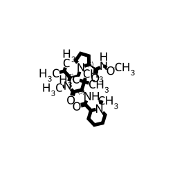 CONC(=O)[C@@H]1CCCN1C[C@H](C(C)C)N(C)C(=O)[C@@H](NC(=O)C1CCCCN1C)C(C)(C)C